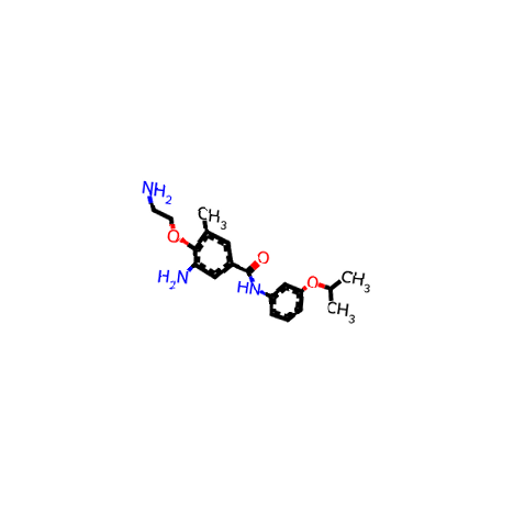 Cc1cc(C(=O)Nc2cccc(OC(C)C)c2)cc(N)c1OCCN